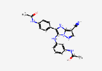 CC(=O)Nc1ccc(-c2[nH]c3c(C#N)cnn3c2Nc2cccc(NC(C)=O)c2)cc1